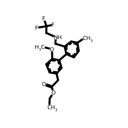 CCOC(=O)Cc1ccc(OC)c(-c2ccc(C)cc2CNCC(F)(F)F)c1